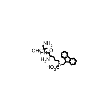 C[C@](C=O)(CN)NC(=O)[C@H](N)CCCN(CC1c2ccccc2-c2ccccc21)C(=O)O